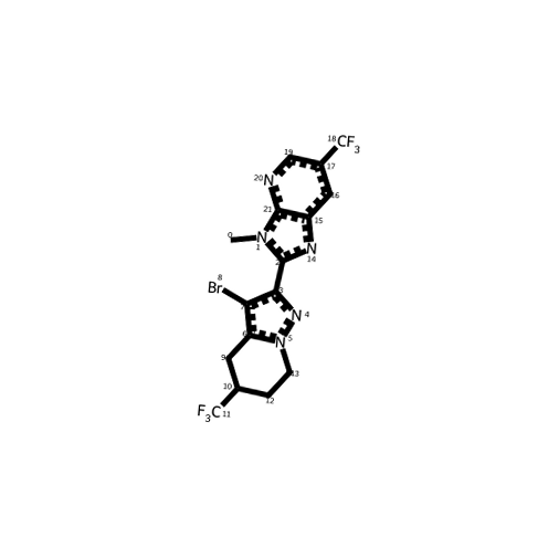 Cn1c(-c2nn3c(c2Br)CC(C(F)(F)F)CC3)nc2cc(C(F)(F)F)cnc21